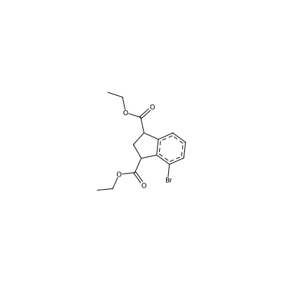 CCOC(=O)C1CC(C(=O)OCC)c2c(Br)cccc21